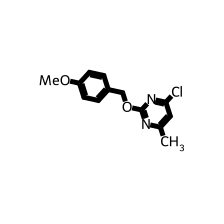 COc1ccc(COc2nc(C)cc(Cl)n2)cc1